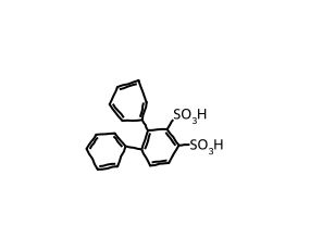 O=S(=O)(O)c1ccc(-c2ccccc2)c(-c2ccccc2)c1S(=O)(=O)O